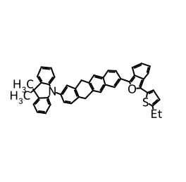 CCc1ccc(-c2oc(-c3ccc4cc5c(cc4c3)Cc3ccc(N4c6ccccc6C(C)(C)c6ccccc64)cc3C5)c3ccccc23)s1